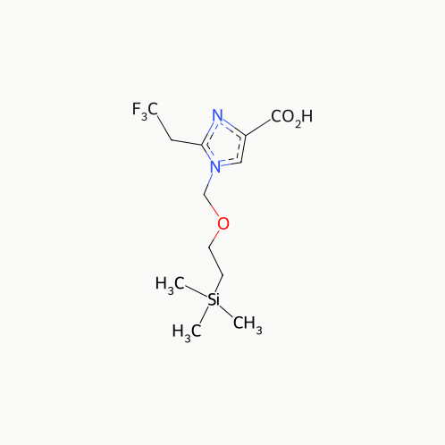 C[Si](C)(C)CCOCn1cc(C(=O)O)nc1CC(F)(F)F